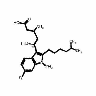 CC(C)CCCCc1c([C@@H](O)CC(C)CC(=O)O)c2ccc(Cl)cc2n1C